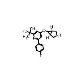 CC(C)(O)c1cc(OC2[C@H]3CNC[C@@H]23)cc(-c2ccc(F)cc2)n1